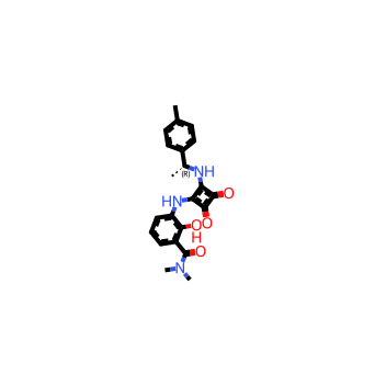 Cc1ccc([C@@H](C)Nc2c(Nc3cccc(C(=O)N(C)C)c3O)c(=O)c2=O)cc1